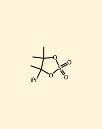 CC(C)C1(C)OS(=O)(=O)OC1(C)C